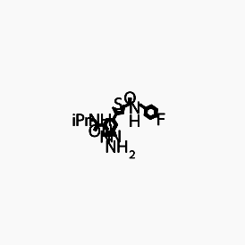 CC(C)NC(=O)c1cc(-c2csc(C(=O)NCc3ccc(F)cc3)c2)cc2nc(N)nn12